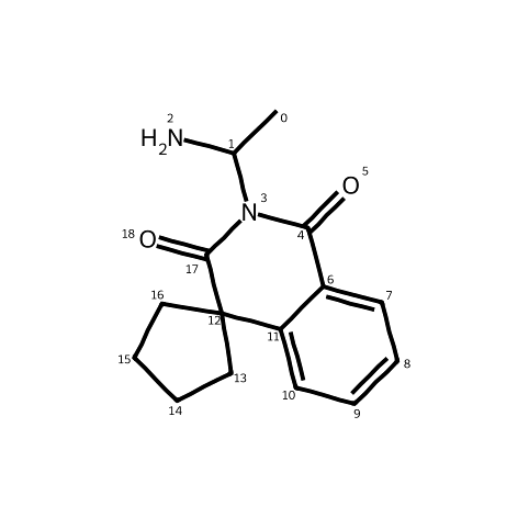 CC(N)N1C(=O)c2ccccc2C2(CCCC2)C1=O